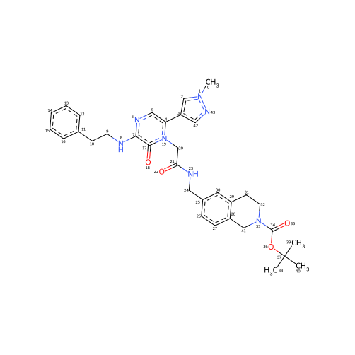 Cn1cc(-c2cnc(NCCc3ccccc3)c(=O)n2CC(=O)NCc2ccc3c(c2)CCN(C(=O)OC(C)(C)C)C3)cn1